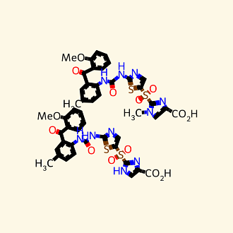 COc1ccccc1C(=O)c1cc(C)ccc1NC(=O)Nc1ncc(S(=O)(=O)c2nc(C(=O)O)c[nH]2)s1.COc1ccccc1C(=O)c1cc(C)ccc1NC(=O)Nc1ncc(S(=O)(=O)c2nc(C(=O)O)cn2C)s1